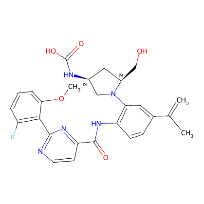 C=C(C)c1ccc(NC(=O)c2ccnc(-c3c(F)cccc3OC)n2)c(N2C[C@@H](NC(=O)O)C[C@H]2CO)c1